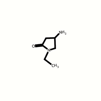 CCN1CC(N)CC1=O